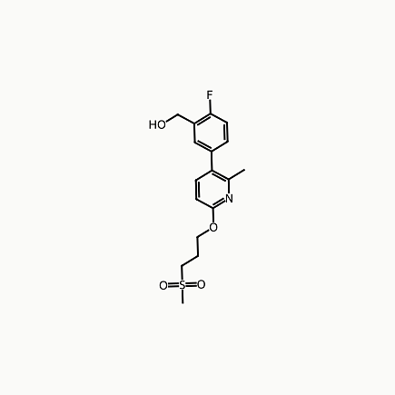 Cc1nc(OCCCS(C)(=O)=O)ccc1-c1ccc(F)c(CO)c1